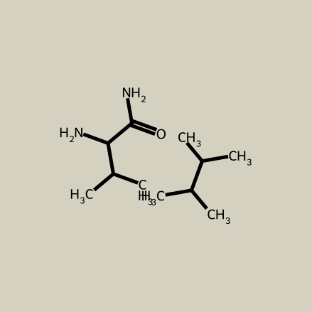 CC(C)C(C)C.CC(C)C(N)C(N)=O